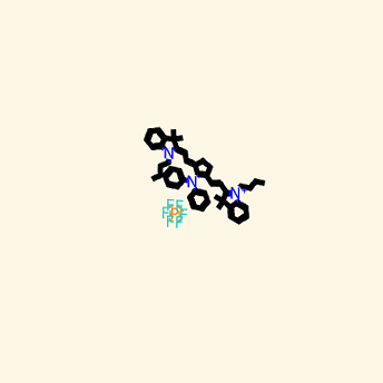 CCCCN1C(=CC=C2CCC(C=CC3=[N+](CCCC)c4ccccc4C3(C)C)=C2N(c2ccccc2)c2ccccc2)C(C)(C)c2ccccc21.F[P-](F)(F)(F)(F)F